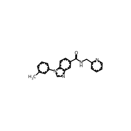 Cc1cccc(-n2cnc3cc(C(=O)NCc4ccccn4)ccc32)c1